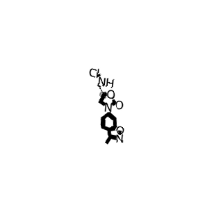 Cc1noc2cc(N3C[C@H](CNCl)OC3=O)ccc12